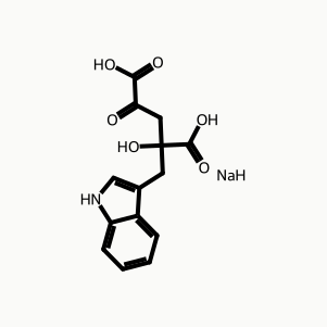 O=C(O)C(=O)CC(O)(Cc1c[nH]c2ccccc12)C(=O)O.[NaH]